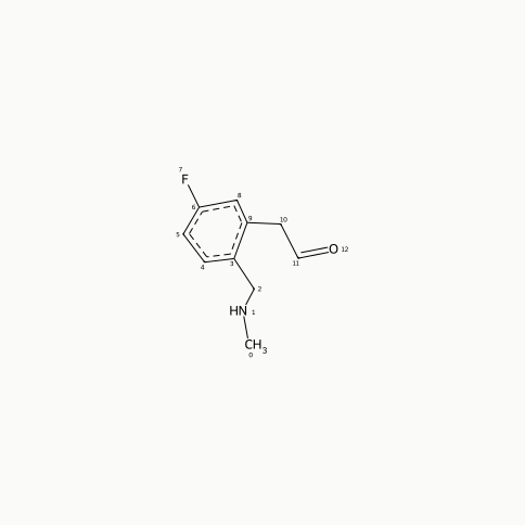 CNCc1ccc(F)cc1CC=O